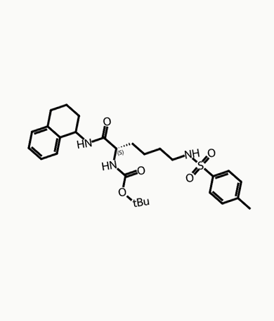 Cc1ccc(S(=O)(=O)NCCCC[C@H](NC(=O)OC(C)(C)C)C(=O)NC2CCCc3ccccc32)cc1